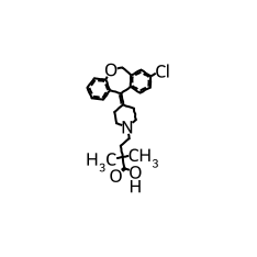 CC(C)(CCN1CCC(=C2c3ccc(Cl)cc3COc3ccccc32)CC1)C(=O)O